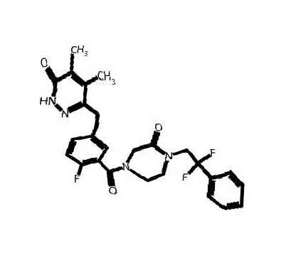 Cc1c(Cc2ccc(F)c(C(=O)N3CCN(CC(F)(F)c4ccccc4)C(=O)C3)c2)n[nH]c(=O)c1C